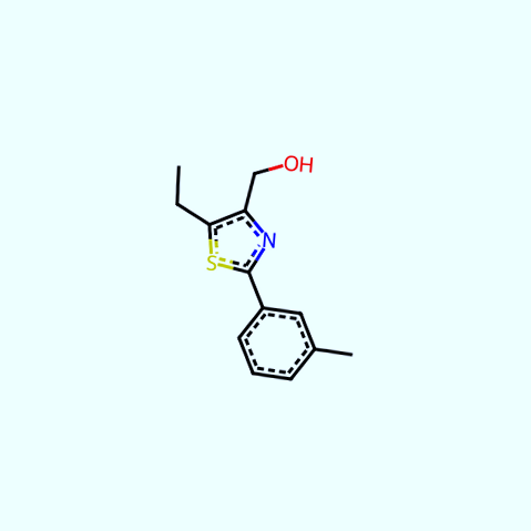 CCc1sc(-c2cccc(C)c2)nc1CO